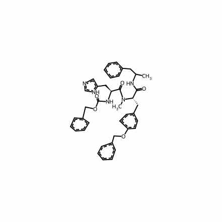 CC(Cc1ccccc1)NC(=O)[C@H](Cc1ccc(OCc2ccccc2)cc1)N(C)C(=O)[C@H](Cc1cnc[nH]1)NC(=O)OCc1ccccc1